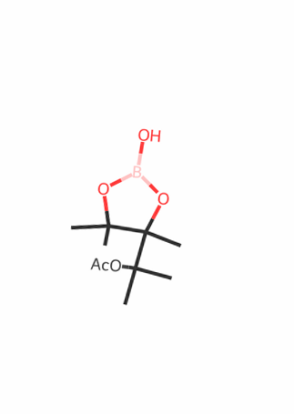 CC(=O)OC(C)(C)C1(C)OB(O)OC1(C)C